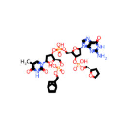 Cc1cn([C@H]2C[C@@H](OP(=O)(O)OC[C@H]3O[C@@H](n4cnc5c(=O)[nH]c(N)nc54)C[C@H]3OP(=O)(O)OC[C@@H]3CCCO3)[C@@H](COP(=O)(O)OCC3CC4C=CC3C4)O2)c(=O)[nH]c1=O